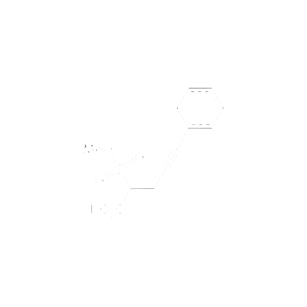 COS(=O)(=O)C(CC#Cc1ccccc1)C(=O)O